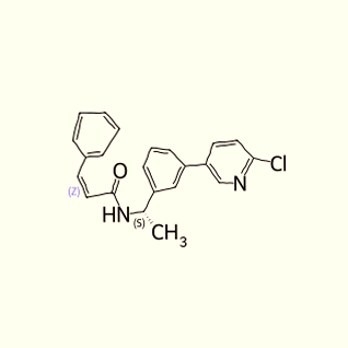 C[C@H](NC(=O)/C=C\c1ccccc1)c1cccc(-c2ccc(Cl)nc2)c1